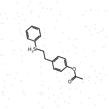 CC(=O)Oc1ccc(CC[SiH2]c2ccccc2)cc1